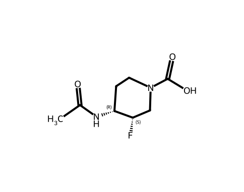 CC(=O)N[C@@H]1CCN(C(=O)O)C[C@@H]1F